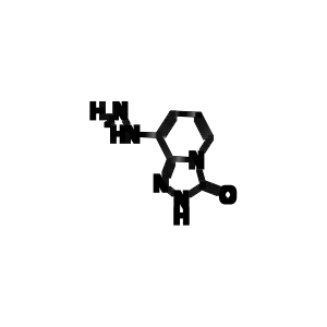 NNc1cccn2c(=O)[nH]nc12